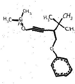 C[SiH](C)OC#CC(COc1ccccc1)C(C)(C)C